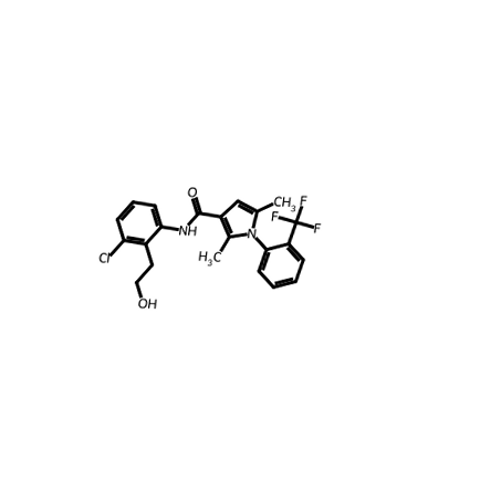 Cc1cc(C(=O)Nc2cccc(Cl)c2CCO)c(C)n1-c1ccccc1C(F)(F)F